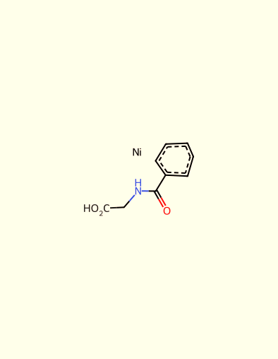 O=C(O)CNC(=O)c1ccccc1.[Ni]